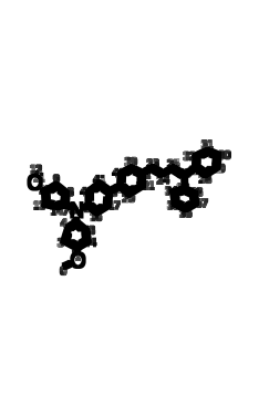 COc1ccc(N(c2ccc(OC)cc2)c2ccc(-c3ccc(C=CC=C(c4ccccc4)c4ccccc4)cc3)cc2)cc1